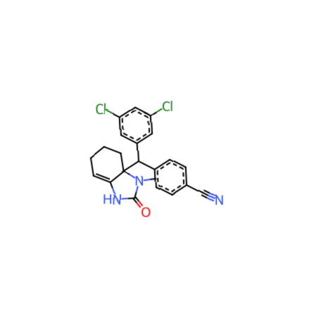 CN1C(=O)NC2=CCCCC21C(c1ccc(C#N)cc1)c1cc(Cl)cc(Cl)c1